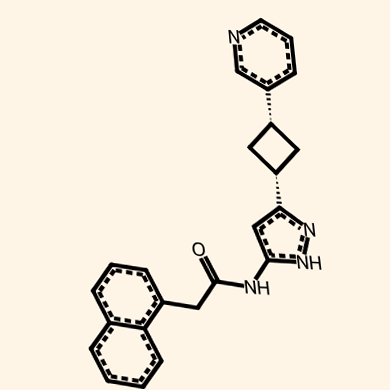 O=C(Cc1cccc2ccccc12)Nc1cc([C@H]2C[C@@H](c3cccnc3)C2)n[nH]1